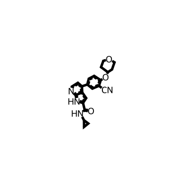 N#Cc1cc(-c2ccnc3[nH]c(C(=O)NC4CC4)cc23)ccc1OC1CCOCC1